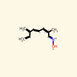 C=CC(=C)C=C/C=C(/C)C=NO